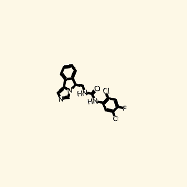 O=C(NCC1c2ccccc2-c2cncn21)Nc1cc(Cl)c(F)cc1Cl